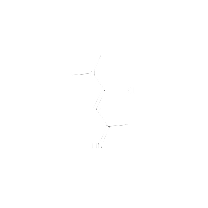 CN(C)C=CC(=N)Cl.Cl